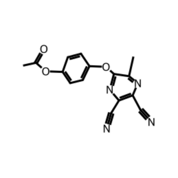 CC(=O)Oc1ccc(Oc2nc(C#N)c(C#N)nc2C)cc1